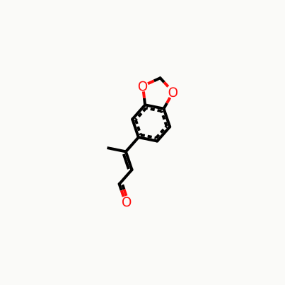 CC(=CC=O)c1ccc2c(c1)OCO2